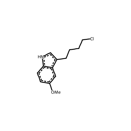 COc1ccc2[nH]cc(CCCCCl)c2c1